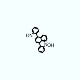 O=Nc1ccccc1-c1ccc(-c2ccccc2NO)c2ccccc12